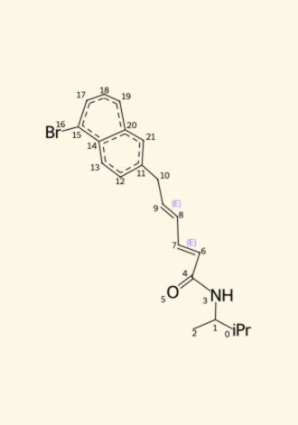 CC(C)C(C)NC(=O)/C=C/C=C/Cc1ccc2c(Br)cccc2c1